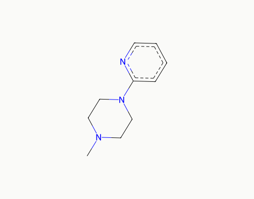 CN1CCN(c2ccccn2)CC1